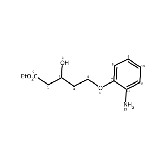 CCOC(=O)CC(O)CCOc1ccccc1N